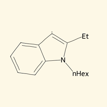 CCCCCCn1c(CC)[c]c2ccccc21